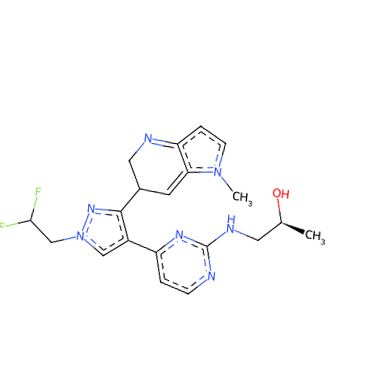 C[C@H](O)CNc1nccc(-c2cn(CC(F)F)nc2C2C=c3c(ccn3C)=NC2)n1